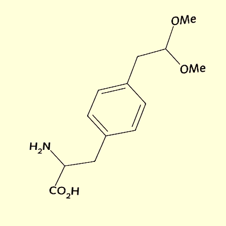 COC(Cc1ccc(CC(N)C(=O)O)cc1)OC